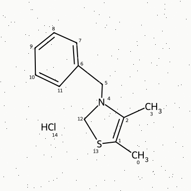 CC1=C(C)N(Cc2ccccc2)CS1.Cl